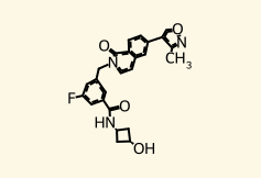 Cc1nocc1-c1ccc2c(=O)n(Cc3cc(F)cc(C(=O)N[C@H]4C[C@H](O)C4)c3)ccc2c1